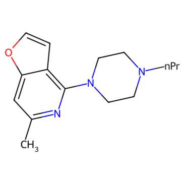 CCCN1CCN(c2nc(C)cc3occc23)CC1